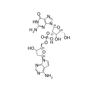 Nc1nc2c(ncn2[C@@H]2O[C@H](CO)C(O)[C@@H]2OP(=O)(O)OC[C@H]2O[C@@H](n3ccc4c(N)ncnc43)CC2O)c(=O)[nH]1